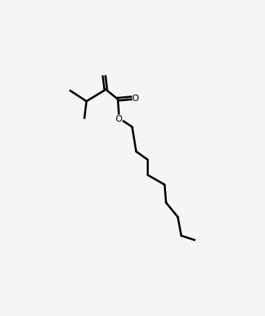 C=C(C(=O)OCCCCCCCCC)C(C)C